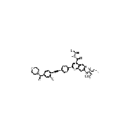 CN(c1cc2nc(-c3ccc(C#Cc4ccc(C(=O)N5CCOCC5)cc4Cl)cc3)cc(C(=O)NNCl)c2cn1)S(C)(=O)=O